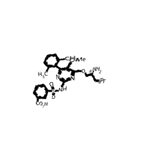 COc1c(OC[C@H](N)CC(C)C)nc(NS(=O)(=O)c2cccc(C(=O)O)c2)nc1-c1c(C)cccc1C